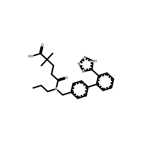 CCCN(Cc1ccc(-c2ccccc2-c2nnn[nH]2)cc1)C(=O)CCC(C)(C)C(=O)O